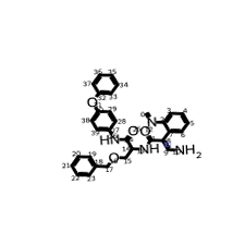 C=Nc1ccccc1/C(=C\N)C(=O)NC(COCc1ccccc1)C(=O)Nc1ccc(Oc2ccccc2)cc1